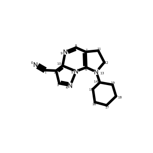 N#Cc1cnn2c3c(cnc12)CCN3C1CCCCC1